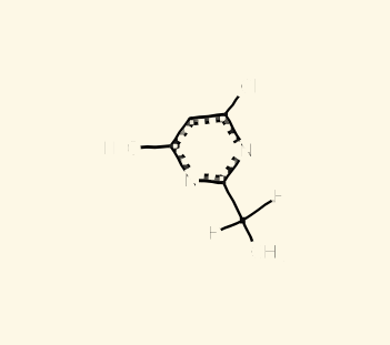 Cc1cc(Cl)nc(C(C)(F)F)n1